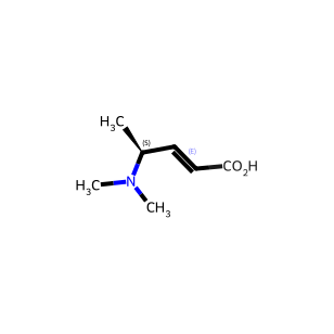 C[C@@H](/C=C/C(=O)O)N(C)C